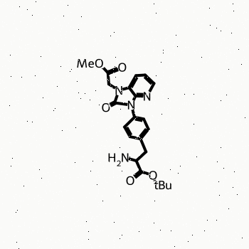 COC(=O)Cn1c(=O)n(-c2ccc(CC(N)C(=O)OC(C)(C)C)cc2)c2ncccc21